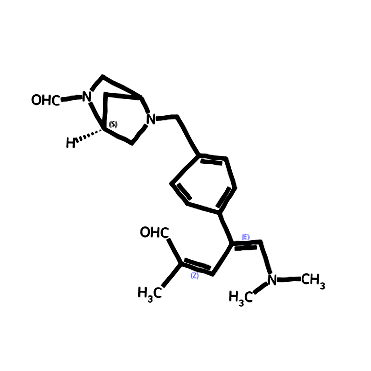 C/C(C=O)=C/C(=C\N(C)C)c1ccc(CN2C[C@@H]3CC2CN3C=O)cc1